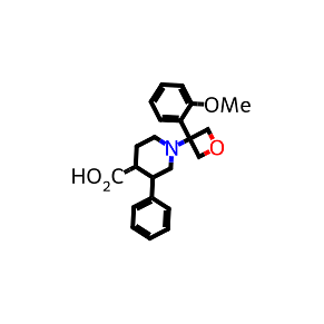 COc1ccccc1C1(N2CCC(C(=O)O)C(c3ccccc3)C2)COC1